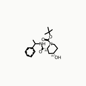 CC(NC(=O)[C@H]1C[C@@H](O)CCN1C(=O)OC(C)(C)C)c1ccccc1